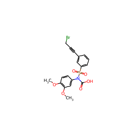 COc1ccc(N(C(=O)O)S(=O)(=O)c2cccc(C#CCBr)c2)cc1OC